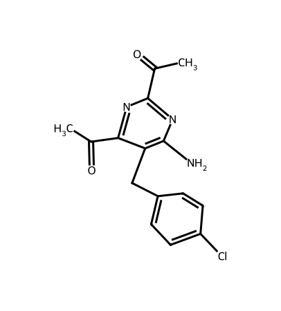 CC(=O)c1nc(N)c(Cc2ccc(Cl)cc2)c(C(C)=O)n1